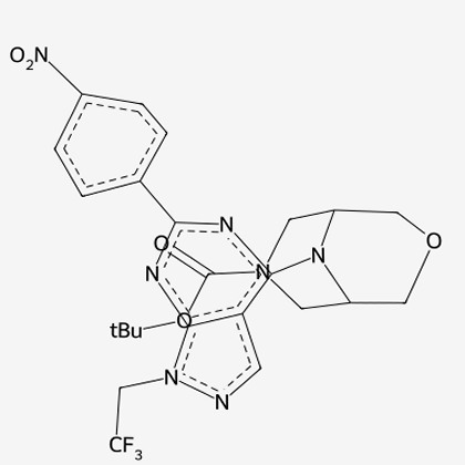 CC(C)(C)OC(=O)N1CC2COCC(C1)N2c1nc(-c2ccc([N+](=O)[O-])cc2)nc2c1cnn2CC(F)(F)F